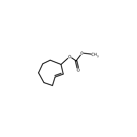 COC(=O)OC1/C=C/CCCCC1